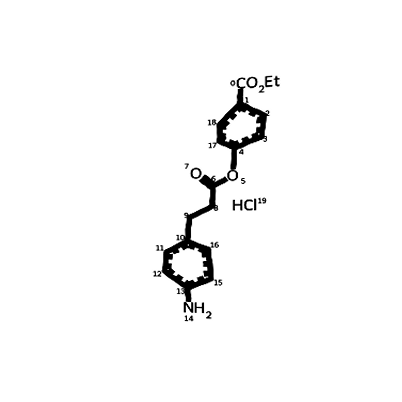 CCOC(=O)c1ccc(OC(=O)CCc2ccc(N)cc2)cc1.Cl